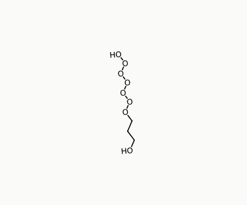 OCCCOOOOOOO